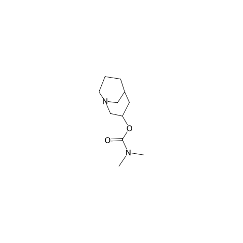 CN(C)C(=O)OC1CC2CCCN(C2)C1